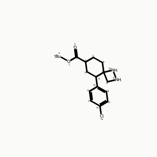 CC(C)(C)OC(=O)C1CCC2(CNN2)C(c2ccc(Cl)cc2)C1